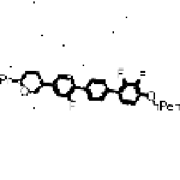 CCCCCOc1ccc(-c2ccc(-c3ccc(C4CCC(CCC)OC4)cc3F)cc2)c(F)c1F